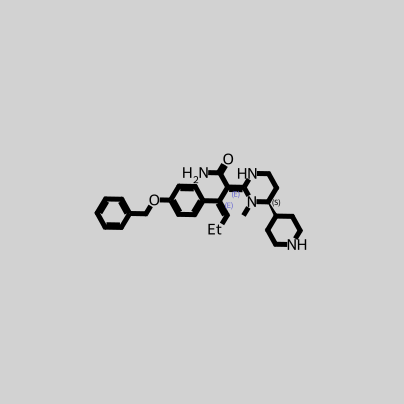 CC/C=C(/C(C(N)=O)=C1/NCC[C@@H](C2CCNCC2)N1C)c1ccc(OCc2ccccc2)cc1